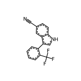 N#Cc1ccc2[nH]cc(-c3ccccc3C(F)(F)F)c2c1